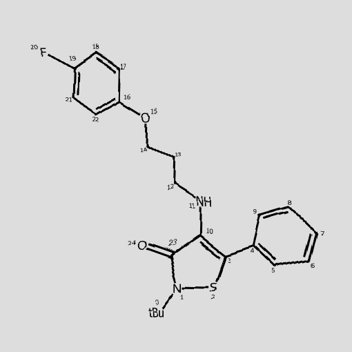 CC(C)(C)n1sc(-c2ccccc2)c(NCCCOc2ccc(F)cc2)c1=O